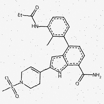 CCC(=O)Nc1cccc(-c2ccc(C(N)=O)c3[nH]c(C4=CCN(S(C)(=O)=O)CC4)cc23)c1C